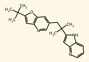 CC(C)(C)c1cc2ncc(CC(C)(C)c3cc4ncccc4[nH]3)cc2o1